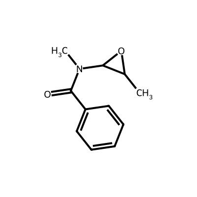 CC1OC1N(C)C(=O)c1ccccc1